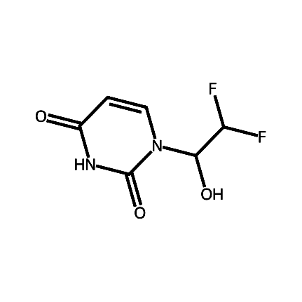 O=c1ccn(C(O)C(F)F)c(=O)[nH]1